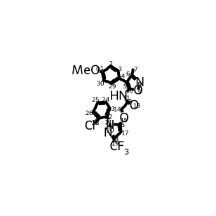 COc1ccc(-c2c(C)noc2NC(=O)COc2cc(C(F)(F)F)nn2-c2ccccc2Cl)cc1